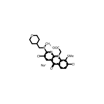 CSc1c(Cl)ccc2c(=O)c3cc(Cl)c(N(C)CC4CCOCC4)nc3n(CC(=O)[O-])c12.[Na+]